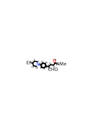 CCC1CCN(c2ccc(C(C=O)CCC(=O)NC)cc2)CC1